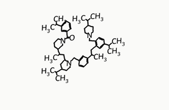 CC(C)c1cccc(C(=O)N2CCCC(C(C)CC3CC(C(C)C)CCN3Cc3cccc(C(C)Cc4cc(C(C)C)ccc4CN4CCC(C(C)C)CC4)c3)C2)c1